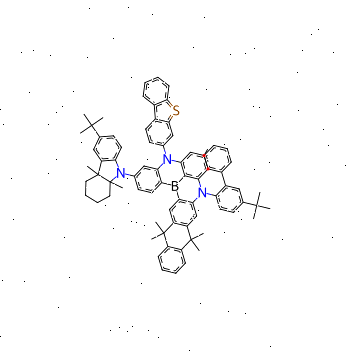 Cc1cc2c3c(c1)N(c1ccc(C(C)(C)C)cc1-c1ccccc1)c1cc4c(cc1B3c1ccc(N3c5ccc(C(C)(C)C)cc5C5(C)CCCCC35C)cc1N2c1ccc2c(c1)sc1ccccc12)C(C)(C)c1ccccc1C4(C)C